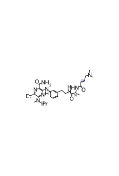 CCc1nc(C(N)=O)c(Nc2cccc(CCNC(=O)[C@H](C)NC(=O)/C=C/CN(C)C)c2)nc1N(C)C(C)C